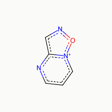 c1cnc2cno[n+]2c1